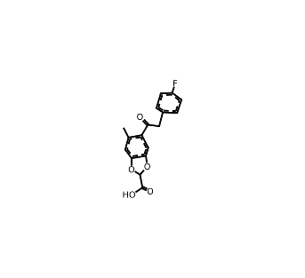 Cc1cc2c(cc1C(=O)Cc1ccc(F)cc1)OC(C(=O)O)O2